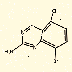 Nc1ncc2c(Cl)ccc(Br)c2n1